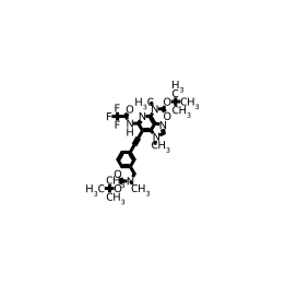 CN(Cc1cccc(C#Cc2c(NC(=O)C(F)(F)F)nc(N(C)C(=O)OC(C)(C)C)c3ncn(C)c23)c1)C(=O)OC(C)(C)C